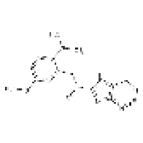 COc1ccc(N(C)C)c(C[S+]([O-])c2nc3ncccc3[nH]2)c1